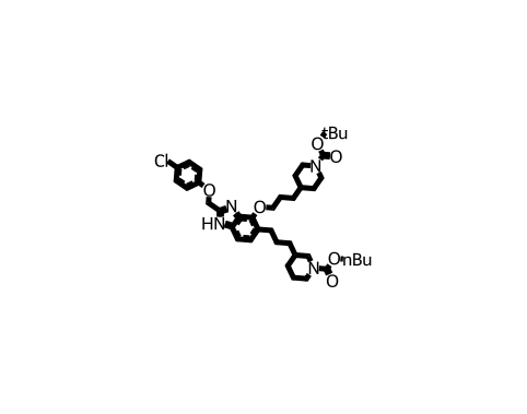 CCCCOC(=O)N1CCCC(CCCc2ccc3[nH]c(COc4ccc(Cl)cc4)nc3c2OCCCC2CCN(C(=O)OC(C)(C)C)CC2)C1